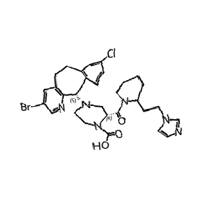 O=C([C@H]1CN([C@H]2c3ccc(Cl)cc3CCc3cc(Br)cnc32)CCN1C(=O)O)N1CCCCC1CCn1ccnc1